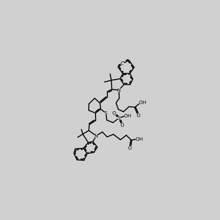 CC1(C)C(=CC=C2CCCC(C=CC3N(CCCCCC(=O)O)c4ccc5ccccc5c4C3(C)C)=C2SCCS(=O)(=O)O)N(CCCCCC(=O)O)c2ccc3ccccc3c21